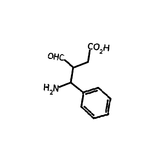 NC(c1ccccc1)C(C=O)CC(=O)O